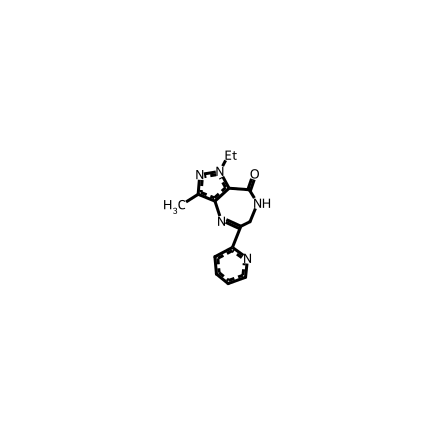 CCn1nc(C)c2c1C(=O)NCC(c1ccccn1)=N2